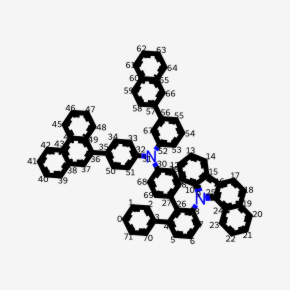 c1ccc(-c2cccc(-n3c4ccccc4c4ccc5ccccc5c43)c2-c2ccc(N(c3ccc(-c4cc5ccccc5c5ccccc45)cc3)c3cccc(-c4ccc5ccccc5c4)c3)cc2)cc1